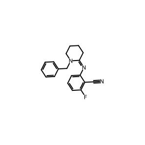 N#Cc1c(F)cccc1N=C1CCCCN1Cc1ccccc1